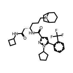 O=C(C[C@H](CCCN1C2CCCC1CC2)NC(=O)c1cc(-c2ccccc2C(F)(F)F)n(C2CCCC2)n1)NC1CCC1